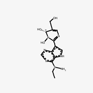 CCN(N)c1ncnc2c(C3=NC=C(CO)[C@@H](O)N3O)c[nH]c12